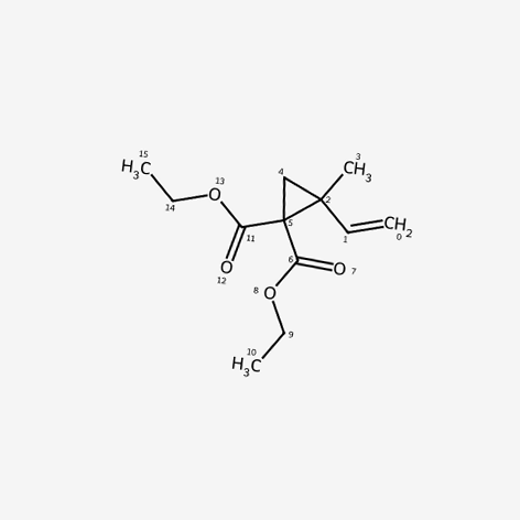 C=CC1(C)CC1(C(=O)OCC)C(=O)OCC